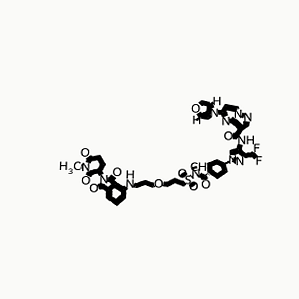 CN1C(=O)CCC(N2C(=O)c3cccc(NCCCOCCCS(=O)(=O)N(C)C(=O)[C@H]4CC[C@H](n5cc(NC(=O)c6cnn7ccc(N8C[C@H]9C[C@@H]8CO9)nc67)c(C(F)F)n5)CC4)c3C2=O)C1=O